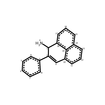 NC1C(c2ccccc2)=Cc2cccc3cccc1c23